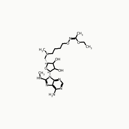 CCOC(C)=NOCCCCN(C)C[C@H]1O[C@@H](n2c(NC)nc3c(N)ncnc32)C(O)C1O